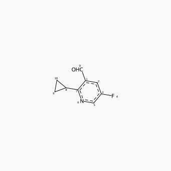 O=Cc1cc(F)cnc1C1CC1